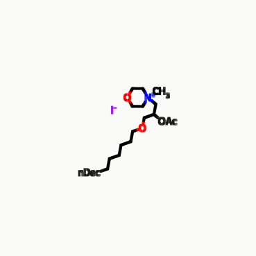 CCCCCCCCCCCCCCCCOCC(C[N+]1(C)CCOCC1)OC(C)=O.[I-]